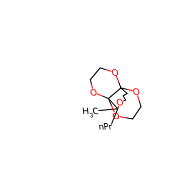 CCCC1(C)OCCCC23OCCOC12OCCO3